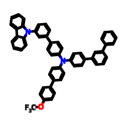 FC(F)(F)Oc1ccc(-c2ccc(N(c3ccc(-c4cccc(-c5ccccc5)c4)cc3)c3ccc(-c4cccc(-n5c6ccccc6c6ccccc65)c4)cc3)cc2)cc1